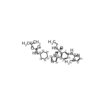 CCNS(=O)(=O)c1cc(Nc2nccn2C)ccc1-c1cnc([C@H]2CC[C@H](NC(=O)OC(C)C)CC2)s1